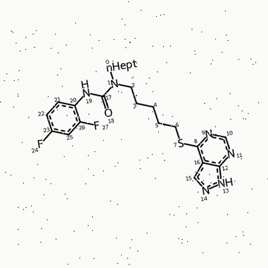 CCCCCCCN(CCCCCSc1ncnc2[nH]ncc12)C(=O)Nc1ccc(F)cc1F